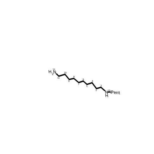 CCCC(C)NCCCCCCCCCCN